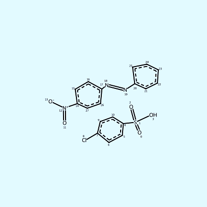 O=S(=O)(O)c1ccc(Cl)cc1.O=[N+]([O-])c1ccc(N=Nc2ccccc2)cc1